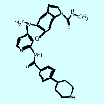 CNC(=O)n1ccc2cc(N(C)c3ccnc(NC(=O)c4ccc(C5CCNCC5)cc4)c3)c(Cl)cc21